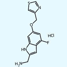 Cl.NCc1cc2c(F)cc(OCc3cscn3)cc2[nH]1